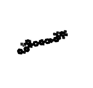 Nc1ncnc2c1c(-c1ccc(Oc3ccccc3)cc1)nn2C1CCN(c2cnc(N3CCC4(CC3)CN(c3ccc5c(c3)C(C(=O)C=O)N(C3CCC(=O)NC3=O)C5)C4)nc2)CC1